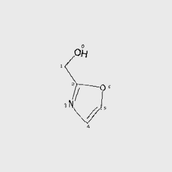 OCc1nc[c]o1